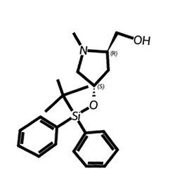 CN1C[C@@H](O[Si](c2ccccc2)(c2ccccc2)C(C)(C)C)C[C@@H]1CO